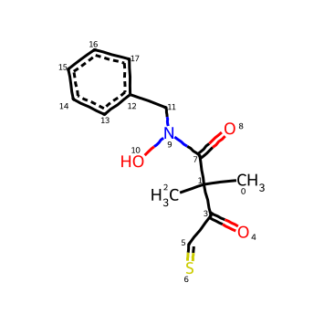 CC(C)(C(=O)C=S)C(=O)N(O)Cc1ccccc1